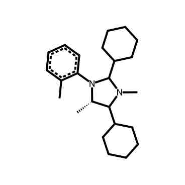 Cc1ccccc1N1C(C2CCCCC2)N(C)C(C2CCCCC2)[C@@H]1C